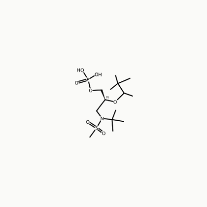 CC(O[C@H](COP(=O)(O)O)CN(C(C)(C)C)S(C)(=O)=O)C(C)(C)C